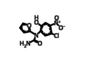 NC(=O)N(c1ccco1)c1cc(Cl)c([N+](=O)[O-])cc1O